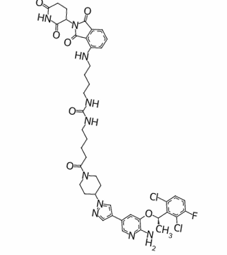 C[C@@H](Oc1cc(-c2cnn(C3CCN(C(=O)CCCCNC(=O)NCCCCNc4cccc5c4C(=O)N(C4CCC(=O)NC4=O)C5=O)CC3)c2)cnc1N)c1c(Cl)ccc(F)c1Cl